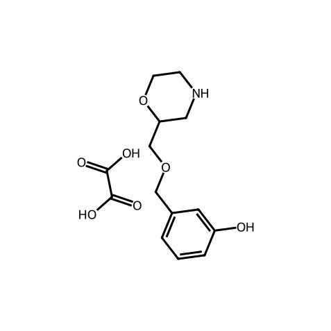 O=C(O)C(=O)O.Oc1cccc(COCC2CNCCO2)c1